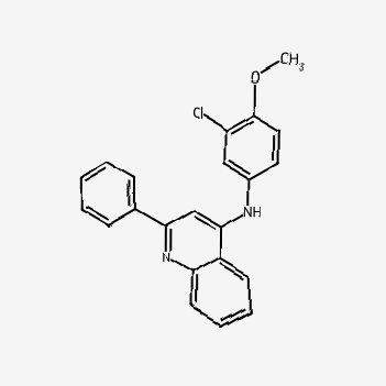 COc1ccc(Nc2cc(-c3ccccc3)nc3ccccc23)cc1Cl